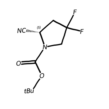 CC(C)(C)OC(=O)N1CC(F)(F)C[C@H]1C#N